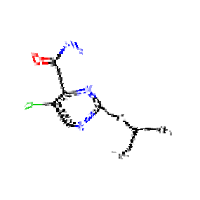 CC(C)Cc1ncc(Cl)c(C(N)=O)n1